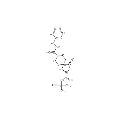 CC(C)(C)OC(=O)N1CC(=O)C2(CCN(C(=O)OCc3ccccc3)CC2)C1